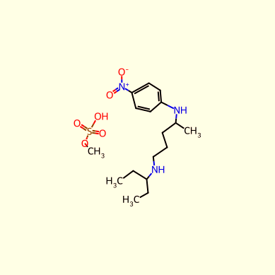 CCC(CC)NCCCC(C)Nc1ccc([N+](=O)[O-])cc1.COS(=O)(=O)O